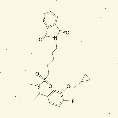 CC(c1ccc(F)c(OCC2CC2)c1)N(C)S(=O)(=O)CCCCCN1C(=O)c2ccccc2C1=O